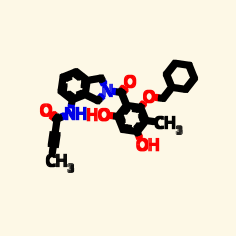 CC#CC(=O)Nc1cccc2c1CN(C(=O)c1c(O)cc(O)c(C)c1OCC1CCCCC1)C2